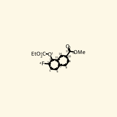 CCOC(=O)Oc1c(F)ccc2ccc(C(=O)OC)cc12